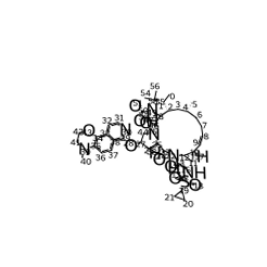 CC[C@@H]1C[C@H](C)CC/C=C\[C@@H]2C[C@@]2(C(=O)NS(=O)(=O)C2CC2)NC(=O)[C@@H]2C[C@@H](Oc3nccc4c5c(ccc34)N(C)CCO5)CN2C(=O)[C@H]1N(C(=O)O)C(C)(C)C